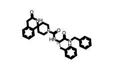 O=C1Cc2ccccc2C2(CCN(C(=O)N[C@@H](Cc3ccccc3)C(=O)NCc3ccccc3)CC2)N1